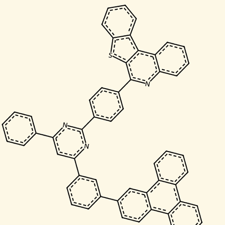 c1ccc(-c2cc(-c3cccc(-c4ccc5c6ccccc6c6ccccc6c5c4)c3)nc(-c3ccc(-c4nc5ccccc5c5c4sc4ccccc45)cc3)n2)cc1